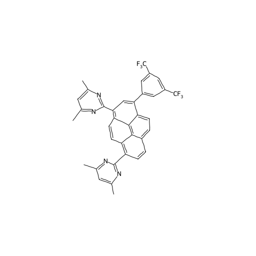 Cc1cc(C)nc(-c2ccc3ccc4c(-c5cc(C(F)(F)F)cc(C(F)(F)F)c5)cc(-c5nc(C)cc(C)n5)c5ccc2c3c45)n1